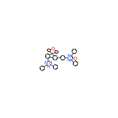 c1ccc(-c2nc(-c3ccccc3)nc(-c3cccc4c3-c3ccc(-c5ccc(-c6nc(-c7ccccc7)c7oc8ccccc8c7n6)cc5)cc3C43c4ccccc4Oc4ccccc43)n2)cc1